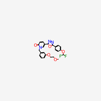 COCCOc1cccc(Cn2cc(-c3nnc(-c4ccc(OC(F)F)cc4)o3)ccc2=O)c1